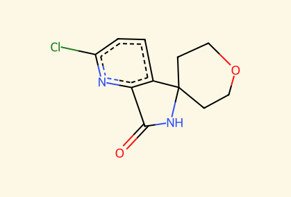 O=C1NC2(CCOCC2)c2ccc(Cl)nc21